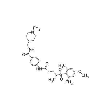 COc1cc(C)c(S(=O)(=O)N(C)CCC(=O)Nc2ccc(C(=O)NCC3CCN(C)CC3)cc2)c(C)c1